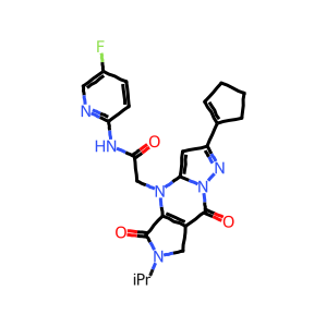 CC(C)N1Cc2c(n(CC(=O)Nc3ccc(F)cn3)c3cc(C4=CCCC4)nn3c2=O)C1=O